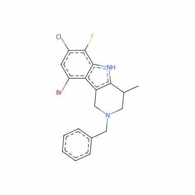 CC1CN(Cc2ccccc2)Cc2c1[nH]c1c(F)c(Cl)cc(Br)c21